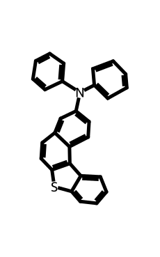 c1ccc(N(c2ccccc2)c2ccc3c(ccc4sc5ccccc5c43)c2)cc1